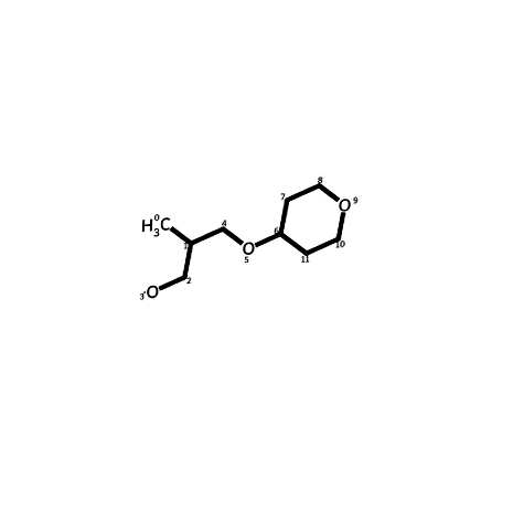 CC(C[O])COC1CCOCC1